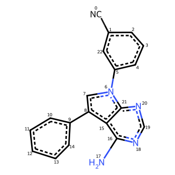 N#Cc1cccc(-n2cc(-c3ccccc3)c3c(N)ncnc32)c1